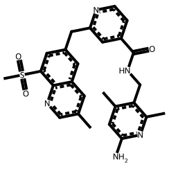 Cc1cnc2c(S(C)(=O)=O)cc(Cc3cc(C(=O)NCc4c(C)cc(N)nc4C)ccn3)cc2c1